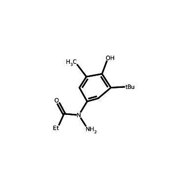 CCC(=O)N(N)c1cc(C)c(O)c(C(C)(C)C)c1